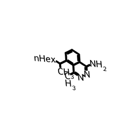 CCCCCCC(C)c1cccc2c(N)nnc(C)c12